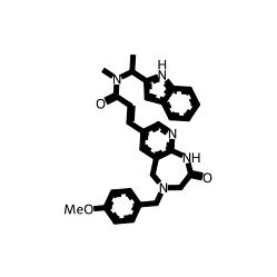 COc1ccc(CN2CC(=O)Nc3ncc(C=CC(=O)N(C)C(C)c4cc5ccccc5[nH]4)cc3C2)cc1